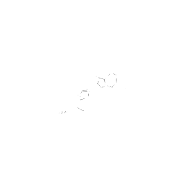 COC(=O)c1cn2c(n1)OCC2c1cn2cc(C3CC3)ccc2n1